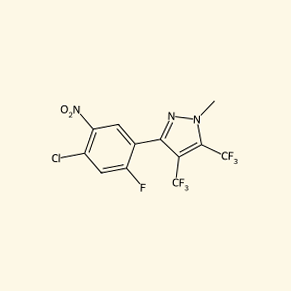 Cn1nc(-c2cc([N+](=O)[O-])c(Cl)cc2F)c(C(F)(F)F)c1C(F)(F)F